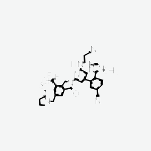 COC[C@@H]1CCCN1Cc1cc2c(c(C(F)(F)F)c1)CN(c1cc(-c3cc(C#N)ccc3-c3nncn3C)cc(NCCC#N)n1)C2=O